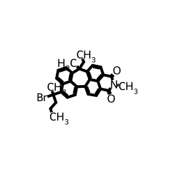 CCCC(C)(Br)c1ccc2c3c(cccc13)C(C)(CC)c1ccc3c4c(ccc-2c14)C(=O)N(C)C3=O